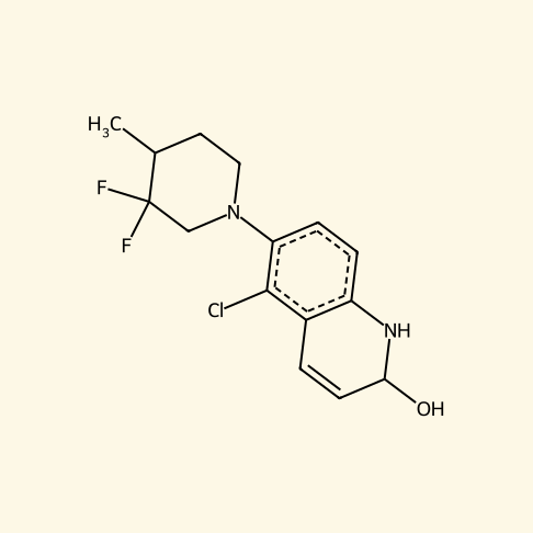 CC1CCN(c2ccc3c(c2Cl)C=CC(O)N3)CC1(F)F